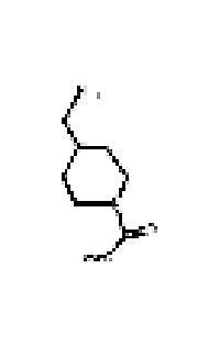 COC(=O)N1CCC(CN)CC1